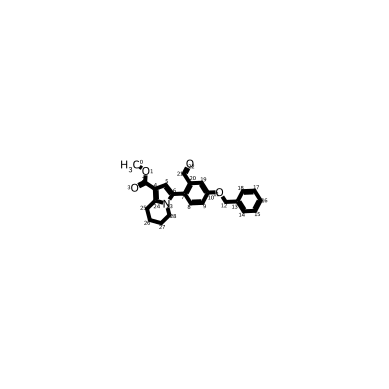 COC(=O)c1cc(-c2ccc(OCc3ccccc3)cc2C=O)n2c1CCCC2